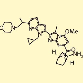 COc1cc(C(=O)N2[C@H]3CC[C@@H]2[C@H](N)C3)cc2nc(-c3cc4ccc(C(C)CN5CCOCC5)nc4n3CC3CC3)c(C)n12